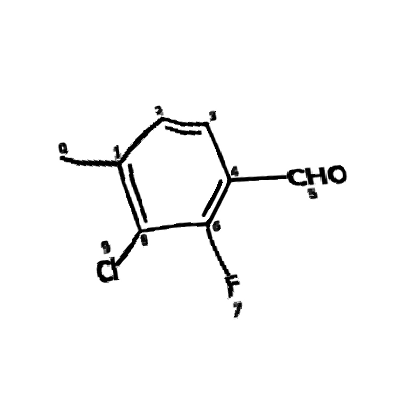 Cc1ccc(C=O)c(F)c1Cl